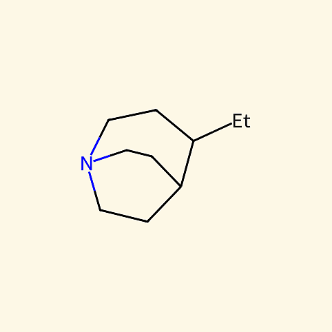 CCC1CCN2CCC1CC2